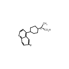 C[C@@H](C(=O)O)C1CCC(c2ccnc3ccc(F)cc23)CC1